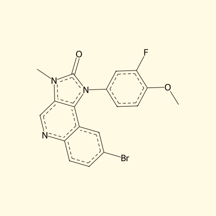 COc1ccc(-n2c(=O)n(C)c3cnc4ccc(Br)cc4c32)cc1F